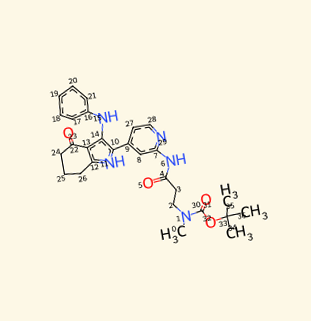 CN(CCC(=O)Nc1cc(-c2[nH]c3c(c2Nc2ccccc2)C(=O)CCC3)ccn1)C(=O)OC(C)(C)C